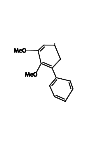 COC1=C[CH]CC(c2ccccc2)=C1OC